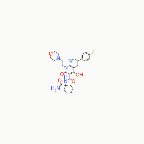 NC(=O)C1(NC(=O)c2c(O)c3cc(-c4ccc(F)cc4)cnc3n(CCN3CCOCC3)c2=O)CCCCC1